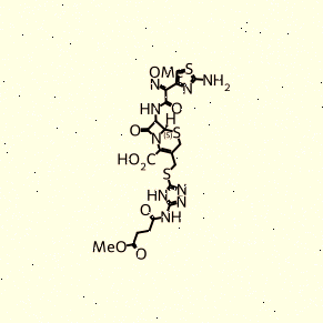 CON=C(C(=O)NC1C(=O)N2C(C(=O)O)=C(CSc3nnc(NC(=O)CCC(=O)OC)[nH]3)CS[C@@H]12)c1csc(N)n1